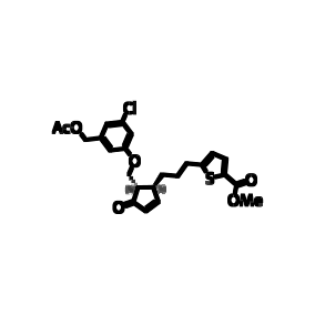 COC(=O)c1ccc(CCC[C@H]2C=CC(=O)[C@@H]2COc2cc(Cl)cc(COC(C)=O)c2)s1